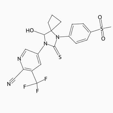 CS(=O)(=O)c1ccc(N2C(=S)N(c3cnc(C#N)c(C(F)(F)F)c3)C(O)C23CCC3)cc1